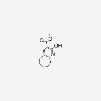 COC(=O)c1cc2c(nc1O)CCCCC2